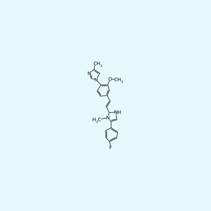 COc1cc(C=CC2NC=C(c3ccc(F)cc3)N2C)ccc1-n1cnc(C)c1